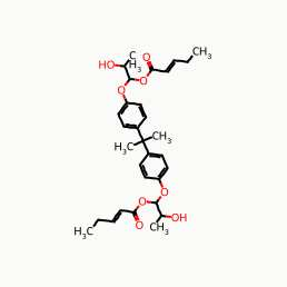 CCC=CC(=O)OC(Oc1ccc(C(C)(C)c2ccc(OC(OC(=O)C=CCC)C(C)O)cc2)cc1)C(C)O